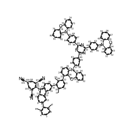 Cc1cccc(C)c1-c1ccc2c(c1)c1cc(-c3c(C)ccc(-c4cccc5c4Oc4ccccc4N5c4ccc(-c5nc(-c6ccc(N7c8ccccc8Oc8ccccc87)cc6)nc(-c6ccc(N7c8ccccc8Oc8ccccc87)cc6)n5)cc4)c3C)ccc1n2-c1c(C#N)cc(C#N)cc1C#N